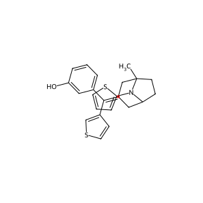 CC12CCC(CC(=C(c3ccsc3)c3cccc(O)c3)C1)N2c1cccs1